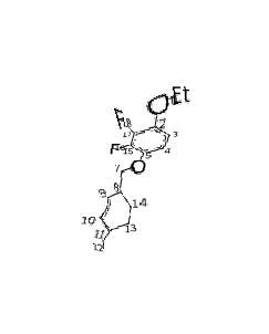 CCOc1ccc(OCC2C=CC(C)CC2)c(F)c1F